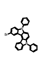 Brc1ccc2c(c1)c1c3c4ccccc4n(-c4ccccc4)c3ccc1n2-c1ccccc1